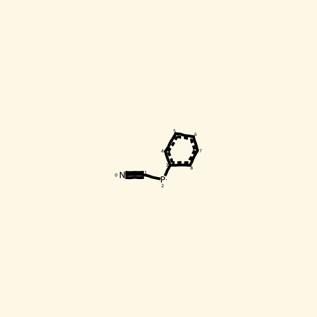 N#C[P]c1ccccc1